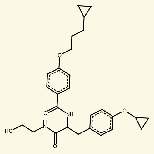 O=C(NC(Cc1ccc(OC2CC2)cc1)C(=O)NCCO)c1ccc(OCCCC2CC2)cc1